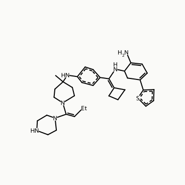 CC/C=C(/N1CCNCC1)N1CCC(C)(Nc2ccc(C(NC3CC(c4cccs4)=CC=C3N)=C3CCC3)cc2)CC1